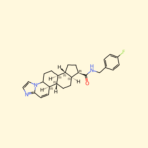 O=C(NCc1ccc(F)cc1)[C@@H]1CC[C@H]2[C@@H]3CCC4[C@H](C=Cc5nccn54)[C@H]3CC[C@@H]21